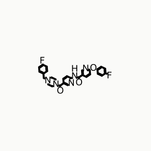 O=C(Nc1ccc(C(=O)N2CCN(Cc3ccc(F)cc3)CC2)cn1)c1ccc(Oc2ccc(F)cc2)nc1